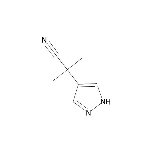 CC(C)(C#N)c1cn[nH]c1